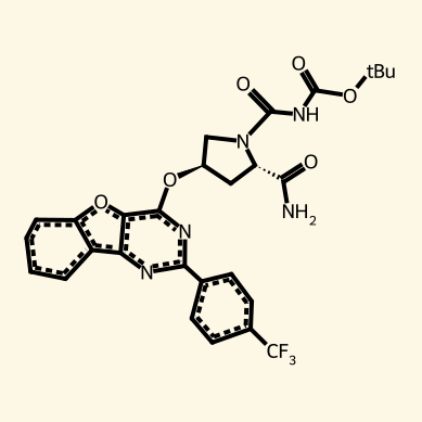 CC(C)(C)OC(=O)NC(=O)N1C[C@H](Oc2nc(-c3ccc(C(F)(F)F)cc3)nc3c2oc2ccccc23)C[C@H]1C(N)=O